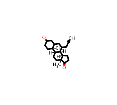 C#CCC1CC2CC(=O)CC[C@]2(C)[C@@H]2CC[C@]3(C)C(=O)CC[C@H]3[C@H]12